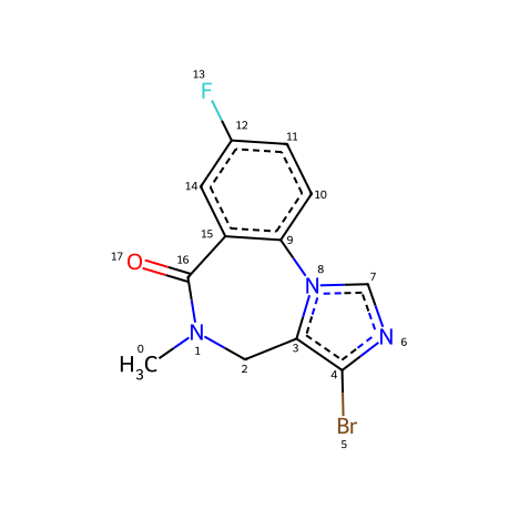 CN1Cc2c(Br)ncn2-c2ccc(F)cc2C1=O